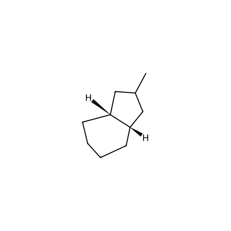 CC1C[C@H]2CCCC[C@H]2C1